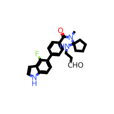 CN(C(=O)c1ccc(-c2ccc3[nH]ccc3c2F)cc1)C1(NCCC=O)CCCC1